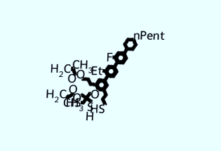 C=C(C)C(=O)OCCCc1cc(-c2ccc(-c3ccc(C4CCC(CCCCC)CC4)cc3F)cc2CC)cc(CCCS)c1OCC(CS)(CS)COC(=O)C(=C)C